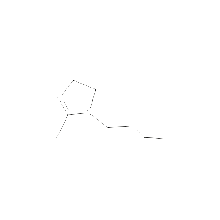 CCOCN1CCN=C1C